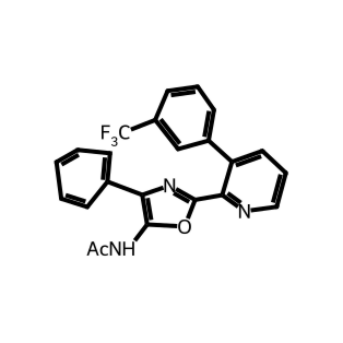 CC(=O)Nc1oc(-c2ncccc2-c2cccc(C(F)(F)F)c2)nc1-c1ccccc1